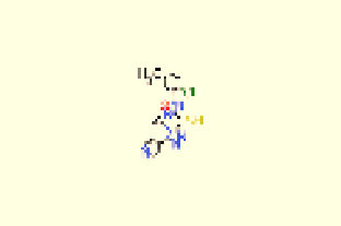 Cc1ccc(Cl)c(-c2nc(C(S)c3nnc(-c4ccncc4)n3C3CC3)no2)c1